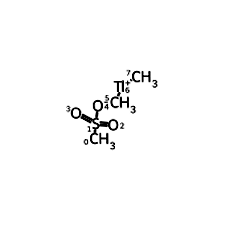 CS(=O)(=O)[O-].[CH3][Tl+][CH3]